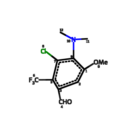 COc1cc(C=O)c(C(F)(F)F)c(Cl)c1N(C)C